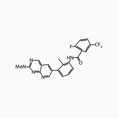 CNc1ncc2cc(-c3cccc(NC(=O)c4cc(C(F)(F)F)ccc4F)c3C)cnc2n1